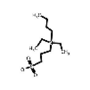 CCCC[N+](CC)(CC)CCCS(=O)(=O)[O-]